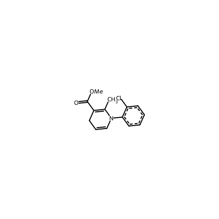 COC(=O)C1=C(C)N(c2ccccc2Cl)C=CC1